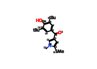 CSc1cc(C(=O)c2cc(C(C)(C)C)c(O)c(C(C)(C)C)c2)cn1C